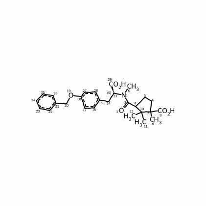 CN(C(=O)C1CCC(C)(C(=O)O)C1(C)C)[C@@H](Cc1ccc(OCc2ccccc2)cc1)C(=O)O